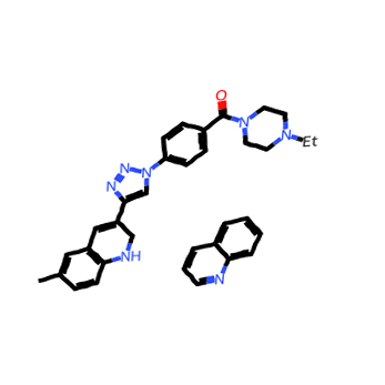 CCN1CCN(C(=O)c2ccc(-n3cc(C4=Cc5cc(C)ccc5NC4)nn3)cc2)CC1.c1ccc2ncccc2c1